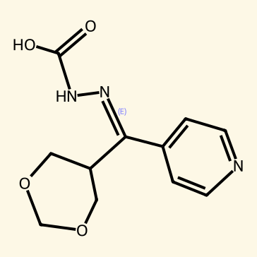 O=C(O)N/N=C(/c1ccncc1)C1COCOC1